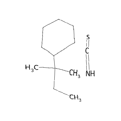 CCC(C)(C)C1CCCCC1.N=C=S